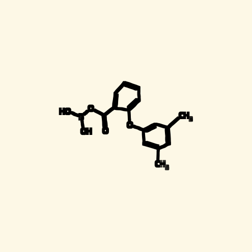 Cc1cc(C)cc(Oc2ccccc2C(=O)OB(O)O)c1